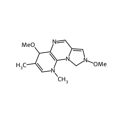 COC1C(C)=CN(C)C2=C1N=CC1=CN(OC)CN12